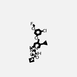 O=S(=O)(Nc1nnc2cc(COc3cc(Cl)cc(OCF)c3)c(C3CC3)cn12)N1CCC1